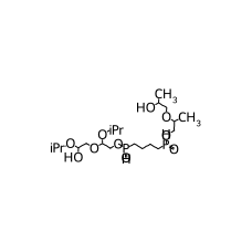 CC(O)COC(C)CO[PH](=O)CCCC[PH](=O)OCC(OCC(O)OC(C)C)OC(C)C